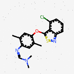 Cc1cc(Oc2snc3cccc(Cl)c23)c(C)cc1/N=C\N(C)C